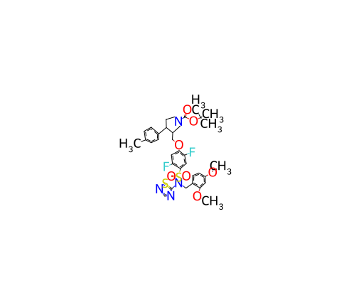 COc1ccc(CN(c2ncns2)S(=O)(=O)c2cc(F)c(OCC3CN(C(=O)OC(C)(C)C)CCC3c3ccc(C)cc3)cc2F)c(OC)c1